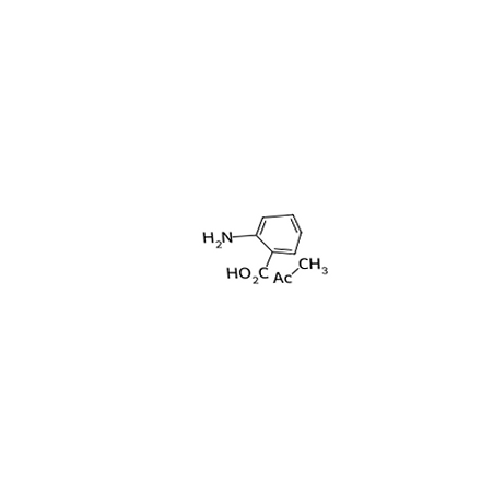 CC(C)=O.Nc1ccccc1C(=O)O